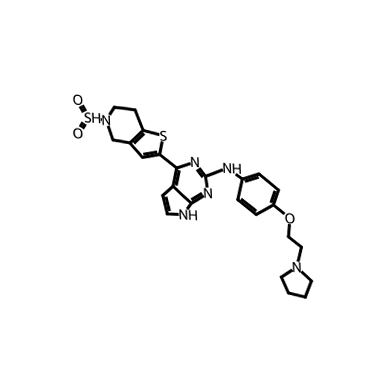 O=[SH](=O)N1CCc2sc(-c3nc(Nc4ccc(OCCN5CCCC5)cc4)nc4[nH]ccc34)cc2C1